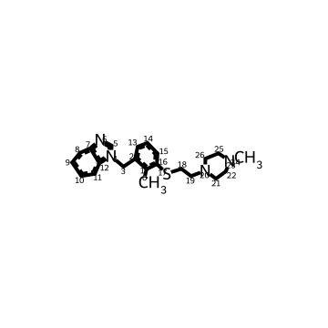 Cc1c(Cn2cnc3ccccc32)cccc1SCCN1CCN(C)CC1